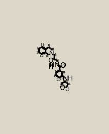 O=C(NC[C@@H](O)CN1CCc2ccccc2C1)c1cccc(NC2CCOC2)c1